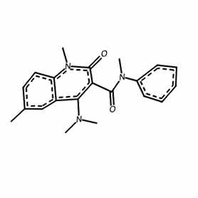 Cc1ccc2c(c1)c(N(C)C)c(C(=O)N(C)c1ccccc1)c(=O)n2C